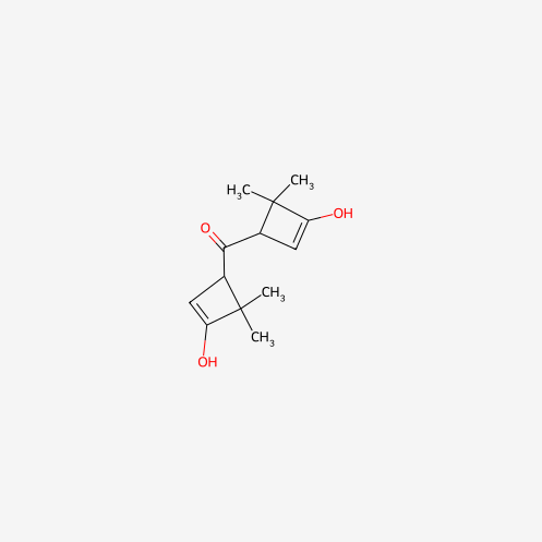 CC1(C)C(O)=CC1C(=O)C1C=C(O)C1(C)C